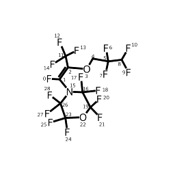 FC(=C(OCC(F)(F)C(F)F)C(F)(F)F)N1C(F)(F)C(F)(F)OC(F)(F)C1(F)F